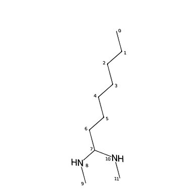 CCCCCCCC(NC)NC